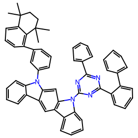 CC1(C)CCC(C)(C)c2c(-c3cccc(-n4c5ccccc5c5cc6c7ccccc7n(-c7nc(-c8ccccc8)nc(-c8ccccc8-c8ccccc8)n7)c6cc54)c3)cccc21